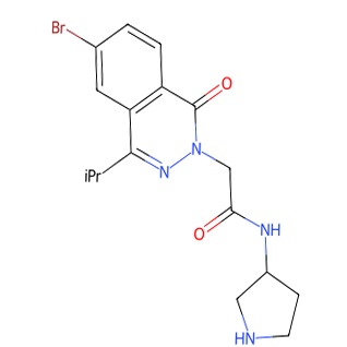 CC(C)c1nn(CC(=O)NC2CCNC2)c(=O)c2ccc(Br)cc12